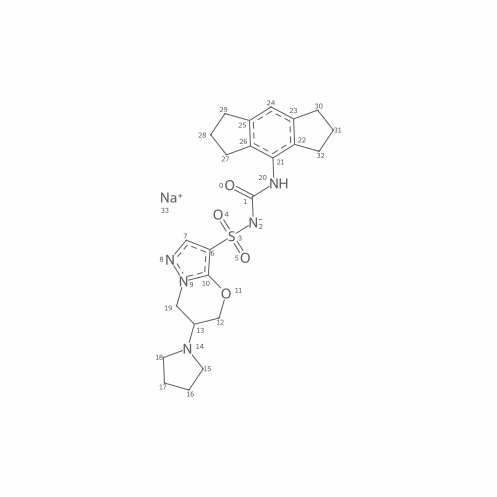 O=C([N-]S(=O)(=O)c1cnn2c1OCC(N1CCCC1)C2)Nc1c2c(cc3c1CCC3)CCC2.[Na+]